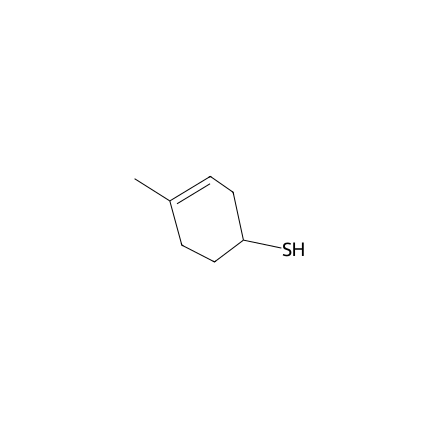 CC1=CCC(S)CC1